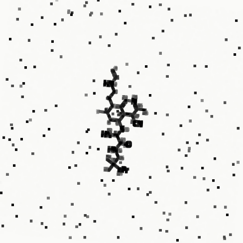 C=CNCCCC(C)/C=C(/SC(=N)C(=O)NCC(C)(C)CCC)c1ccnc(C)c1C#N